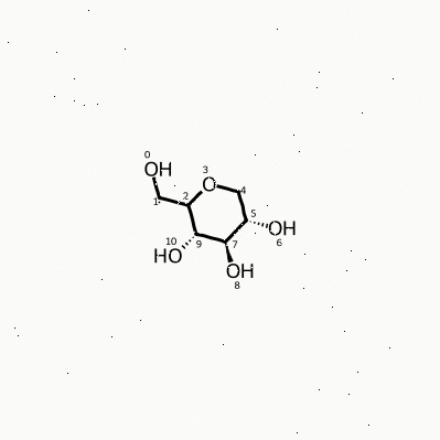 O[CH]C1OC[C@H](O)[C@@H](O)[C@@H]1O